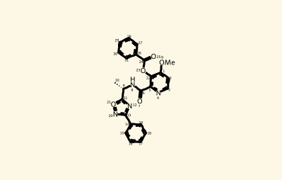 COc1ccnc(C(=O)N[C@@H](C)c2nc(-c3ccccc3)no2)c1OC(=O)c1ccccc1